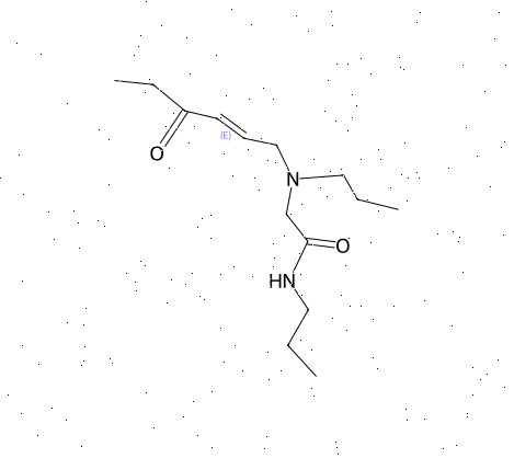 CCCNC(=O)CN(C/C=C/C(=O)CC)CCC